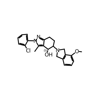 COc1cccc2c1CN(C1CCc3nn(-c4ccccc4Cl)c(C)c3[C@@H]1O)C2